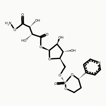 NOC(=O)[C@H](O)[C@@H](O)C(=O)O[C@@H]1O[C@H](CO[P@@]2(=O)OCC[C@@H](c3ccncc3)O2)[C@@H](O)[C@@H]1O